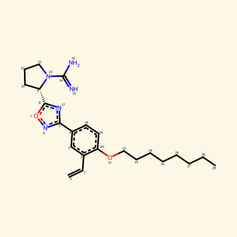 C=Cc1cc(-c2noc([C@@H]3CCCN3C(=N)N)n2)ccc1OCCCCCCCC